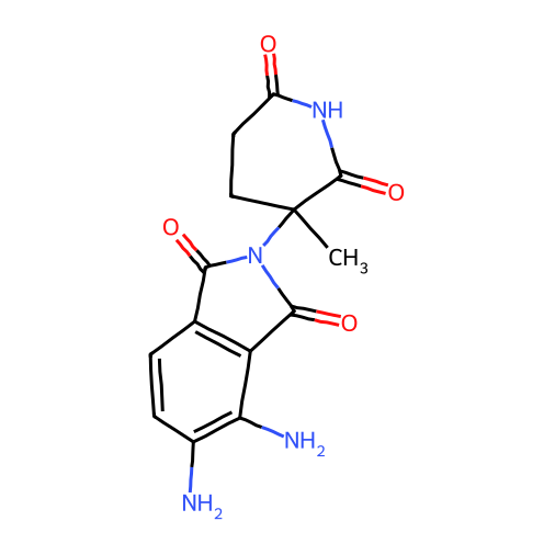 CC1(N2C(=O)c3ccc(N)c(N)c3C2=O)CCC(=O)NC1=O